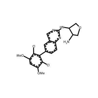 COc1cc(OC)c(Cl)c(-c2ccc3nc(NC4COCC4N)ncc3c2)c1Cl